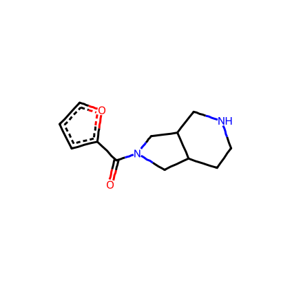 O=C(c1ccco1)N1CC2CCNCC2C1